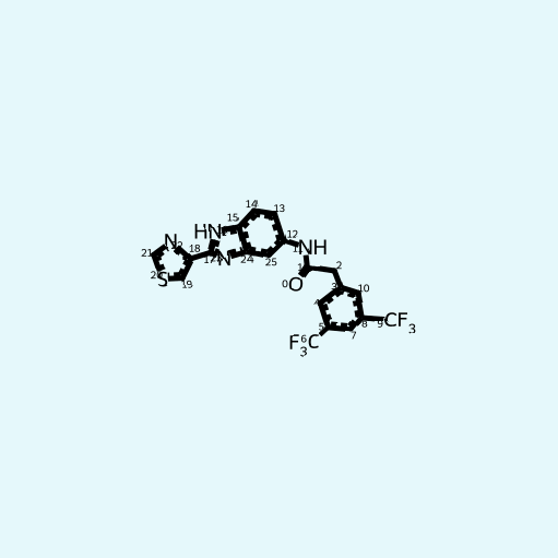 O=C(Cc1cc(C(F)(F)F)cc(C(F)(F)F)c1)Nc1ccc2[nH]c(-c3cscn3)nc2c1